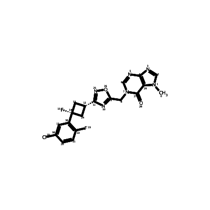 Cn1cnc2ncn(Cc3nc([C@H]4C[C@](F)(c5cc(Cl)ccc5F)C4)no3)c(=O)c21